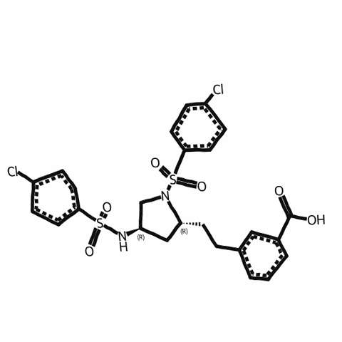 O=C(O)c1cccc(CC[C@@H]2C[C@@H](NS(=O)(=O)c3ccc(Cl)cc3)CN2S(=O)(=O)c2ccc(Cl)cc2)c1